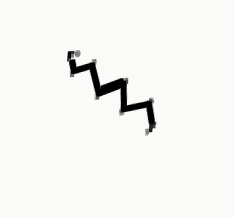 FCCC=CCCF